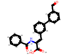 O=Cc1cccc(-c2cccc(/C=C(\NC(=O)c3ccccc3)C(=O)O)c2)c1